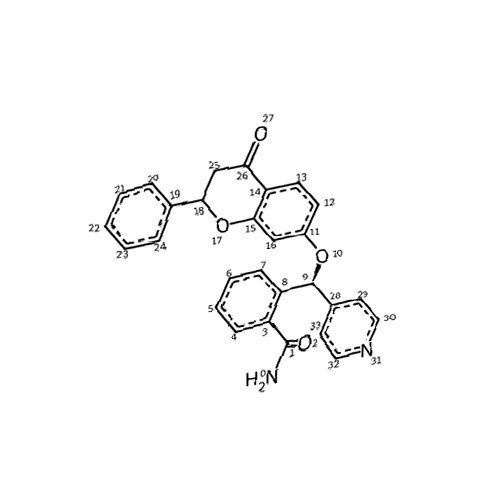 NC(=O)c1ccccc1[C@@H](Oc1ccc2c(c1)OC(c1ccccc1)CC2=O)c1ccncc1